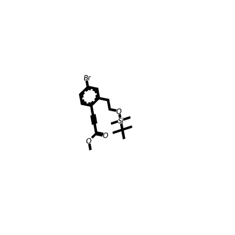 COC(=O)C#Cc1ccc(Br)cc1CCO[Si](C)(C)C(C)(C)C